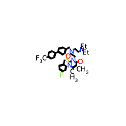 CCN(CC)CCN(Cc1ccc(-c2ccc(C(F)(F)F)cc2)cc1)C(=O)Cn1c(SCc2ccc(F)cc2)nc(C)c(C)c1=O